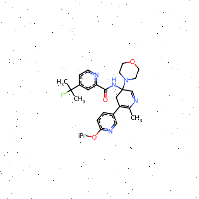 CC1=C(c2ccc(OC(C)C)nc2)CC(NC(=O)c2cc(C(C)(C)F)ccn2)(N2CCOCC2)C=N1